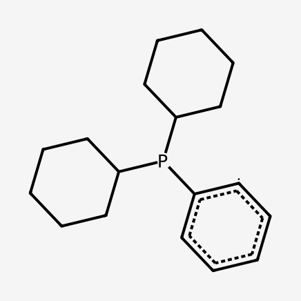 [c]1ccccc1P(C1CCCCC1)C1CCCCC1